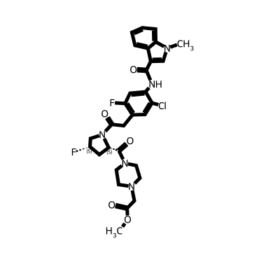 COC(=O)CN1CCN(C(=O)[C@@H]2C[C@H](F)CN2C(=O)Cc2cc(Cl)c(NC(=O)c3cn(C)c4ccccc34)cc2F)CC1